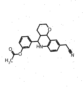 CC(=O)Oc1cccc(C2Nc3ccc(CC#N)cc3C3OCCCC23)c1